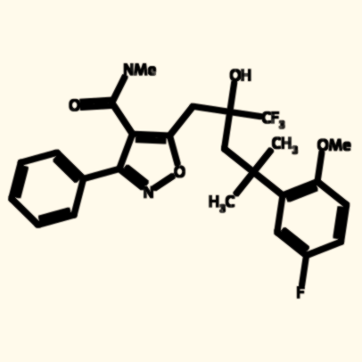 CNC(=O)c1c(-c2ccccc2)noc1CC(O)(CC(C)(C)c1cc(F)ccc1OC)C(F)(F)F